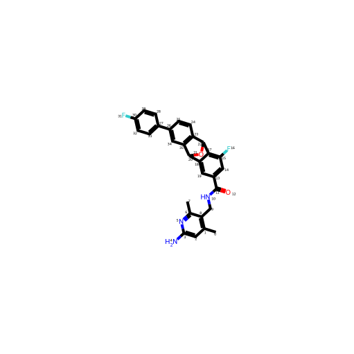 Cc1cc(N)nc(C)c1CNC(=O)c1cc(F)c2c(c1)C1OC2c2ccc(-c3ccc(F)cc3)cc21